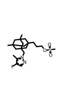 Cc1c(I)cnn1CC12CC3(C)CC(C)(CC(CCCOS(C)(=O)=O)(C3)C1)C2